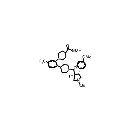 CNC(=O)C1CCN(c2cc(C(F)(F)F)ccc2C2CCN(C(=O)[C@]3(F)CN(C(C)(C)C)C[C@H]3c3ccc(OC)cc3)CC2)CC1